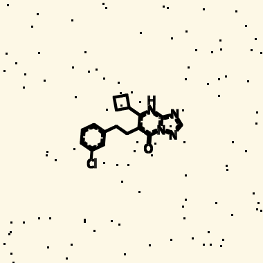 O=c1c(CCc2cccc(Cl)c2)c(C2CCC2)[nH]c2ncnn12